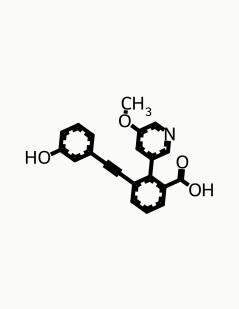 COc1cncc(-c2c(C#Cc3cccc(O)c3)cccc2C(=O)O)c1